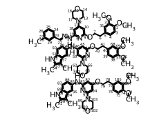 COc1ccc(CCOc2cc(N3CCOCC3)cc(NN=Cc3cccc(C)c3)n2)cc1OC.COc1ccc(CCOc2cc(Nc3ccc4[nH]c(C)c(C)c4c3)cc(N3CCOCC3)n2)cc1OC.COc1ccc(CCOc2cc(Nc3ccc4[nH]c(C)c(C)c4c3)nc(N3CCOCC3)c2)cc1OC